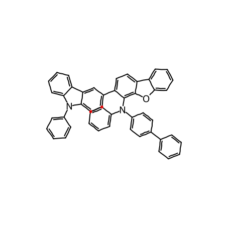 c1ccc(-c2ccc(N(c3ccccc3)c3c(-c4ccc5c(c4)c4ccccc4n5-c4ccccc4)ccc4c3oc3ccccc34)cc2)cc1